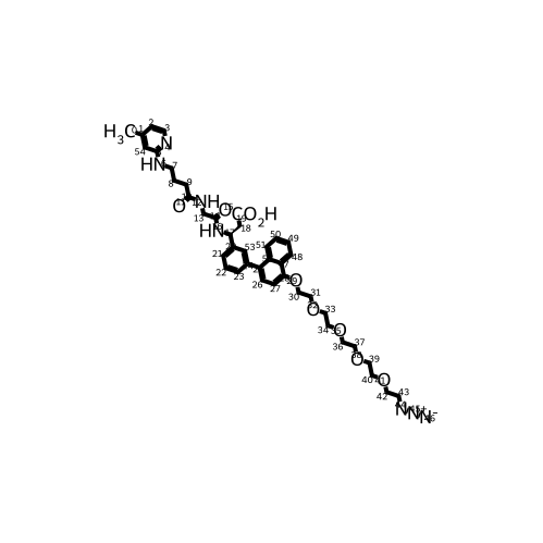 Cc1ccnc(NCCCC(=O)NCC(=O)N[C@@H](CC(=O)O)c2cccc(-c3ccc(OCCOCCOCCOCCOCCN=[N+]=[N-])c4ccccc34)c2)c1